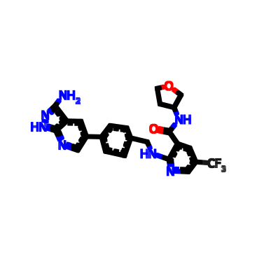 Nc1n[nH]c2ncc(-c3ccc(CNc4ncc(C(F)(F)F)cc4C(=O)NC4CCOC4)cc3)cc12